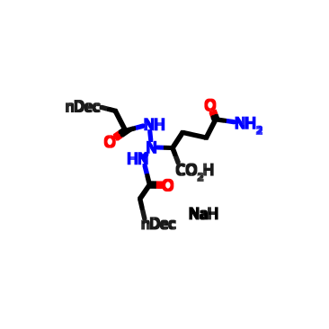 CCCCCCCCCCCC(=O)NN(NC(=O)CCCCCCCCCCC)C(CCC(N)=O)C(=O)O.[NaH]